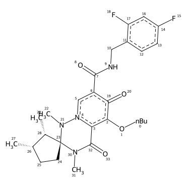 CCCCOc1c2n(cc(C(=O)NCc3ccc(F)cc3F)c1=O)N(C)[C@]1(CC[C@H](C)[C@@H]1C)N(C)C2=O